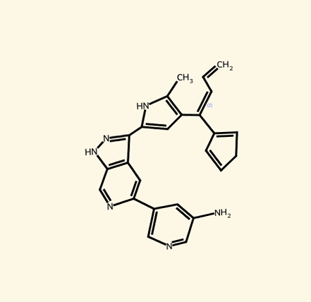 C=C/C=C(/C1=CCC=C1)c1cc(-c2n[nH]c3cnc(-c4cncc(N)c4)cc23)[nH]c1C